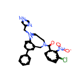 O=C(c1cccc(Cl)c1[N+](=O)[O-])N1CCN(Cc2c[nH]cn2)c2ccc(-c3ccccc3)cc2C1